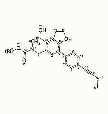 CN(Cc1cc(-c2ccc(C#CSI)cc2)c2c(c1CO)CCO2)C(=O)OC(C)(C)C